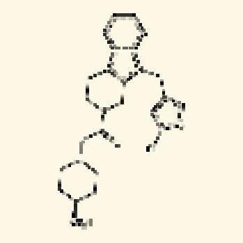 O=C(C[C@H]1CC[C@H](C(=O)O)CC1)N1CCc2c(n(Cc3csc(Cl)c3)c3ncccc23)C1